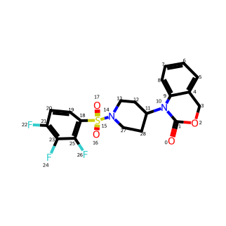 O=C1OCc2ccccc2N1C1CCN(S(=O)(=O)c2ccc(F)c(F)c2F)CC1